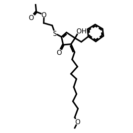 COCCCCCCCCC/C=C1\C(=O)C(SCCOC(C)=O)=CC1(O)Cc1ccccc1